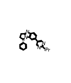 CC(C)c1ncc(-c2ccc3nc4n(c3c2)[C@H](c2ccccc2)CC4)cn1